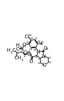 CC(C)CCOC(=O)C1C2COCCN2C(=O)N1c1cc(OC(C)C)c(Cl)cc1F